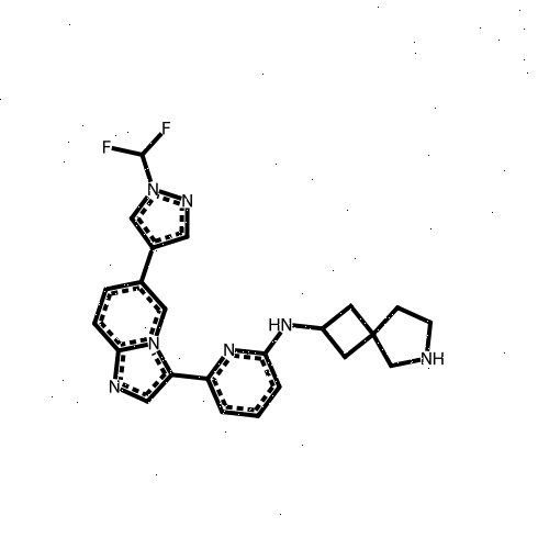 FC(F)n1cc(-c2ccc3ncc(-c4cccc(NC5CC6(CCNC6)C5)n4)n3c2)cn1